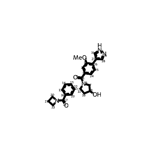 COc1cc(C(=O)N2CC(O)C[C@@H]2c2cccc(C(=O)N3CCC3)c2)ccc1-c1cn[nH]c1